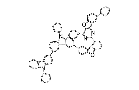 c1ccc(-c2ccc3oc4c(-c5ccccc5)nc(-c5cccc6oc7ccc(-c8ccc9c(c8)c8cc(-c%10ccc%11c(c%10)c%10ccccc%10n%11-c%10ccccc%10)ccc8n9-c8ccccc8)cc7c56)nc4c3c2)cc1